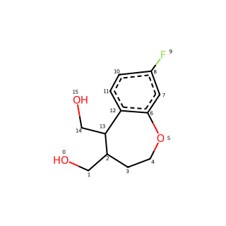 OCC1CCOc2cc(F)ccc2C1CO